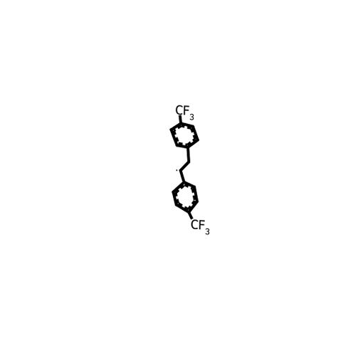 FC(F)(F)c1ccc([CH]Cc2ccc(C(F)(F)F)cc2)cc1